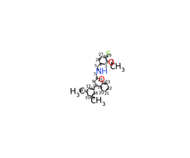 COc1cc(CNCC2CC(c3cc(C)cc(C)c3)c3ccccc3O2)ccc1F